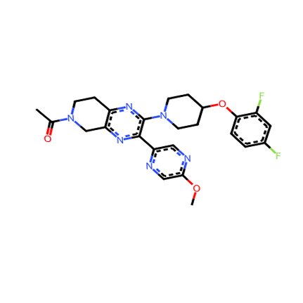 COc1cnc(-c2nc3c(nc2N2CCC(Oc4ccc(F)cc4F)CC2)CCN(C(C)=O)C3)cn1